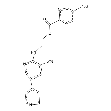 CCCCc1ccc(C(=O)OCCNc2ncc(-c3ccncc3)cc2C#N)nc1